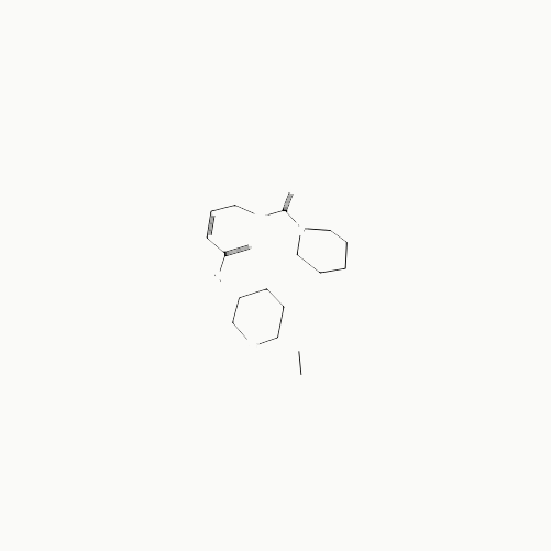 CC[C@@H]1O[C@H](C)[C@H](NC(=O)/C=C\[C@H](C)OC(=O)N2CCCCC2)C[C@@H]1C